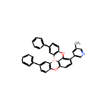 Cc1cncc(-c2ccc3c4c2Oc2ccc(-c5ccccc5)cc2B4c2cc(-c4ccccc4)ccc2O3)c1